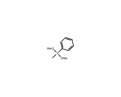 C[O][Ti]([CH3])([O]C)[c]1ccccc1